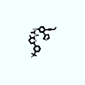 C=C(Nc1ccc(C#CCC)c(C2=CN=CC2)c1)N(C)c1nc(-c2cccc(C(C)(C)F)c2)ccc1C